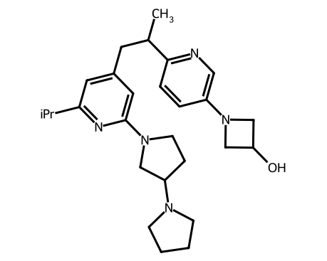 CC(C)c1cc(CC(C)c2ccc(N3CC(O)C3)cn2)cc(N2CCC(N3CCCC3)C2)n1